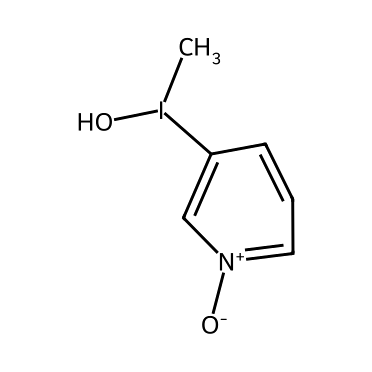 CI(O)c1ccc[n+]([O-])c1